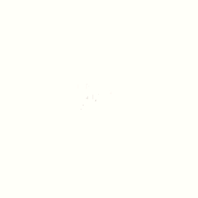 B.[BiH3].[SiH4].[Ti].[Zn]